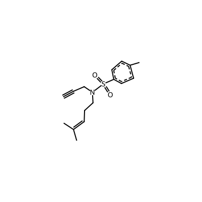 C#CCN(CCC=C(C)C)S(=O)(=O)c1ccc(C)cc1